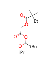 CCC(C)(C)C(=O)OCC(=O)OC(OC(C)C)C(C)(C)C